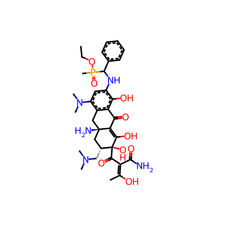 CCOP(C)(=O)C(Nc1cc(N(C)C)c2c(c1O)C(=O)C1=C(O)[C@](O)(C(=O)/C(C(N)=O)=C(\C)O)[C@H](CN(C)C)C[C@]1(N)C2)c1ccccc1